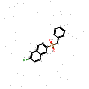 O=S(=O)(Cc1ccccc1)c1ccc2cc(Br)ccc2c1